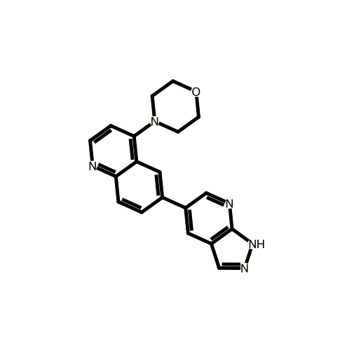 c1cc(N2CCOCC2)c2cc(-c3cnc4[nH]ncc4c3)ccc2n1